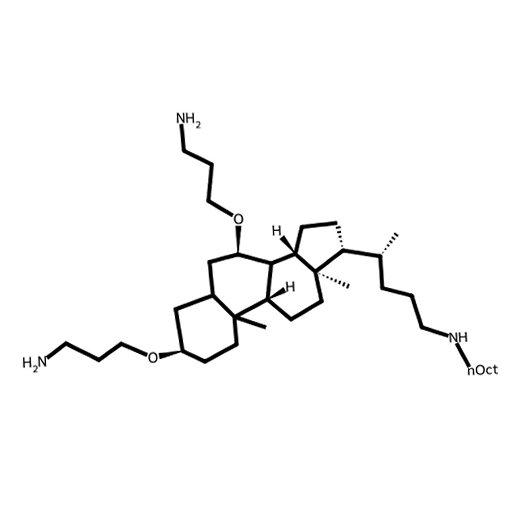 CCCCCCCCNCCC[C@@H](C)[C@H]1CC[C@H]2C3[C@H](OCCCN)CC4C[C@H](OCCCN)CCC4(C)[C@H]3CC[C@]12C